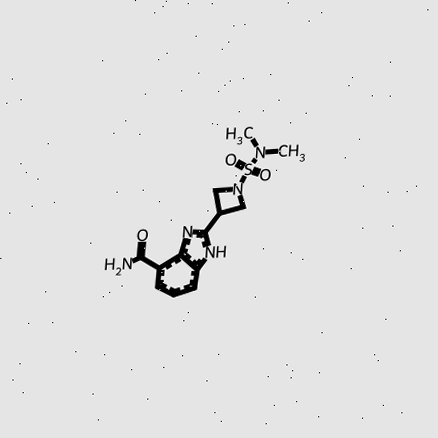 CN(C)S(=O)(=O)N1CC(c2nc3c(C(N)=O)cccc3[nH]2)C1